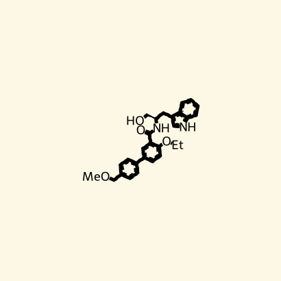 CCOc1ccc(-c2ccc(COC)cc2)cc1C(=O)N[C@@H](CO)Cc1c[nH]c2ccccc12